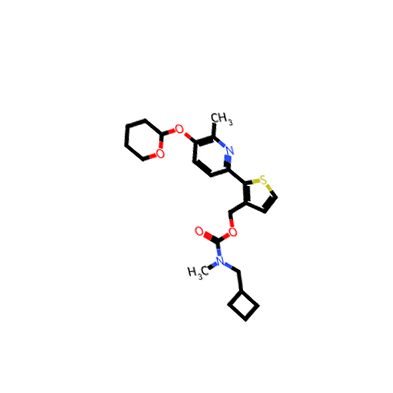 Cc1nc(-c2sccc2COC(=O)N(C)CC2CCC2)ccc1OC1CCCCO1